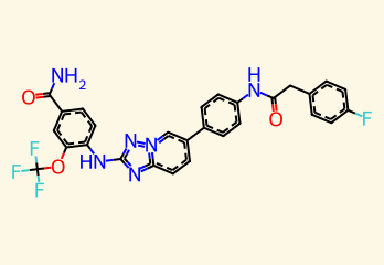 NC(=O)c1ccc(Nc2nc3ccc(-c4ccc(NC(=O)Cc5ccc(F)cc5)cc4)cn3n2)c(OC(F)(F)F)c1